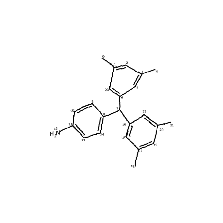 Cc1cc(C)cc(C(c2ccc(N)cc2)c2cc(C)cc(C)c2)c1